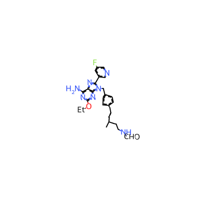 CCOc1nc(N)c2nc(-c3cncc(F)c3)n(Cc3ccc(CCC(C)CCNC=O)cc3)c2n1